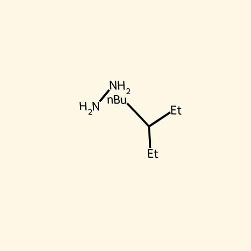 CCCCC(CC)CC.NN